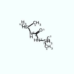 C[SiH](C)NC(=O)N[SiH](C)C